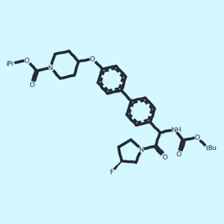 CC(C)OC(=O)N1CCC(Oc2ccc(-c3ccc(C(NC(=O)OC(C)(C)C)C(=O)N4CC[C@H](F)C4)cc3)cc2)CC1